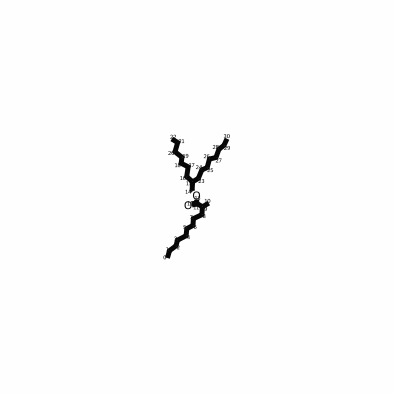 CCCCCCCCCC(C)C(=O)OCC(CCCCCCC)CCCCCCCC